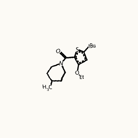 CCOc1cc(C(C)(C)C)sc1C(=O)N1CCC(C)CC1